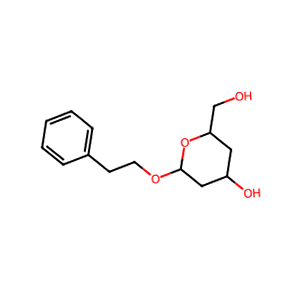 OCC1CC(O)CC(OCCc2ccccc2)O1